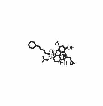 COc1cc(O)c2c3c1O[C@H]1[C@H](N(CC(C)C)C(=O)CCCCC4CCCCC4)CC[C@H]4[C@@H](C2)N(CC2CC2)CC[C@@]341